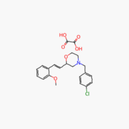 COc1ccccc1C=CC1CN(Cc2ccc(Cl)cc2)CCO1.O=C(O)C(=O)O